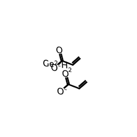 C=CC(=O)[O-].C=CC(=O)[O-].[GeH2+2]